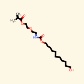 C=C(C)C(=O)OCCOCCNC(=O)OCCCCCCCCCCCO